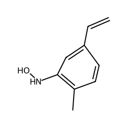 C=Cc1ccc(C)c(NO)c1